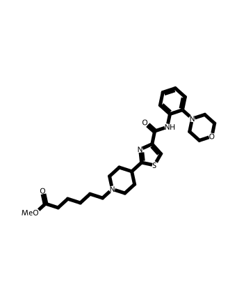 COC(=O)CCCCCN1CCC(c2nc(C(=O)Nc3ccccc3N3CCOCC3)cs2)CC1